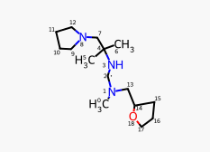 CN([CH]NC(C)(C)CN1CCCC1)CC1CCCO1